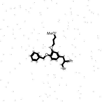 COCCCOc1cc(CC(CBr)C(C)C)ccc1OCc1ccccc1